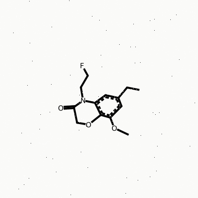 CCc1cc(OC)c2c(c1)N(CCF)C(=O)CO2